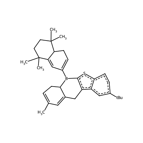 CC1=CCC2B(C3=CCC4C(=C3)C(C)(C)CCC4(C)C)c3sc4ccc(C(C)(C)C)cc4c3CC2=C1